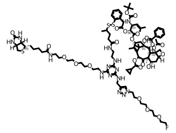 CC(=O)O[C@@]12CO[C@@H]1C[C@H](O)[C@@]1(C)C(=O)[C@H](OC(=O)C3CC3)C3=C(C)[C@@H](OC(=O)[C@H](OC(=O)Cc4ccccc4SSC(C)CCC(=O)NCCNc4nc(NCCOCCOCCOCCNC(=O)CCCC[C@@H]5SC[C@@H]6NC(=O)N[C@@H]65)nc(NCc5cn(CCOCCOCCOCCF)nn5)n4)[C@H](C=C(C)C)NC(=O)OC(C)(C)C)C[C@@](O)([C@@H](OC(=O)c4ccccc4)[C@H]21)C3(C)C